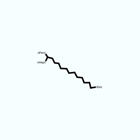 [CH2]CCCCC(CCCCCCC)CCCCCCCCCCCCCCCCCCCCCC